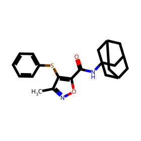 Cc1noc(C(=O)NC23CC4CC(CC(C4)C2)C3)c1Sc1ccccc1